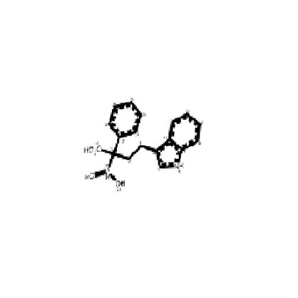 O=C(O)C(CCc1c[nH]c2ccccc12)(c1ccccc1)[PH](=O)O